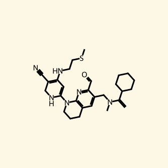 C=C(C1CCCCC1)N(C)Cc1cc2c(nc1C=O)N(C1=CC(NCCSC)=C(C#N)CN1)CCC2